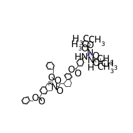 CC(C)(C)OC(=O)/N=C(/NC(=O)OC(C)(C)C)Nc1ccc(C(=O)Oc2ccc3c(c2)CCCC3CC(=O)N2Cc3cc(C(=O)OCc4ccccc4)ccc3C[C@@H]2C(=O)OCc2ccccc2)cc1